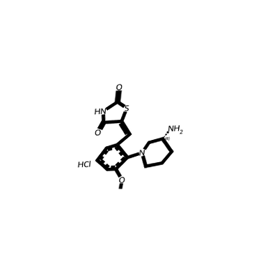 COc1cccc(C=C2SC(=O)NC2=O)c1N1CCC[C@@H](N)C1.Cl